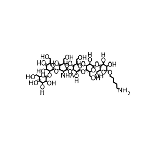 CC(=O)NC1C(O[C@@H]2OC(CO)[C@H](O)C(O)C2O[C@@H]2OC(CO)[C@@H](O)C(O)C2O)[C@@H](O)C(CO)O[C@H]1OC1C(O)[C@@H](O[C@H]2C(CO)O[C@@H](O[C@@H]3C(CO)O[C@@H](OCCCCCN)C(O)C3O)C(O)C2O)OC(CO)[C@@H]1O